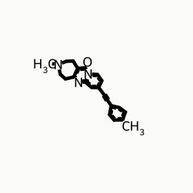 Cc1ccc(C#Cc2ccn3c(=O)c4c(nc3c2)CCN(C)CC4)cc1